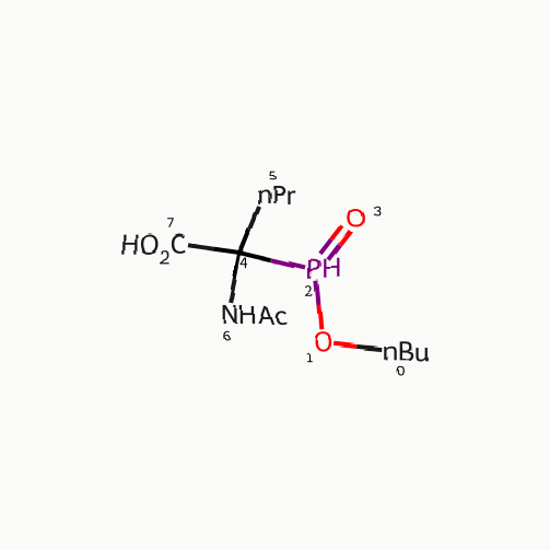 CCCCO[PH](=O)C(CCC)(NC(C)=O)C(=O)O